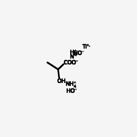 CC(O)C(=O)[O-].[NH4+].[NH4+].[OH-].[OH-].[Ti+]